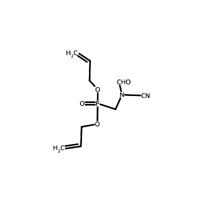 C=CCOP(=O)(CN(C#N)C=O)OCC=C